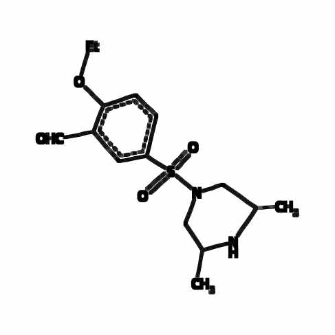 CCOc1ccc(S(=O)(=O)N2CC(C)NC(C)C2)cc1C=O